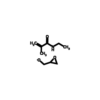 C=C(C)C(=O)NCC.[O]CC1CO1